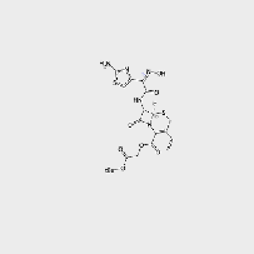 C=CC1=C(C(=O)OCC(=O)OC(C)(C)C)N2C(=O)C(NC(=O)/C(=N\O)c3csc(N)n3)[C@H]2SC1